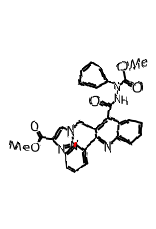 COC(=O)c1cn(Cc2c(-c3ccccc3)nc3ccccc3c2C(=O)NN(C(=O)OC)c2ccccc2)nn1